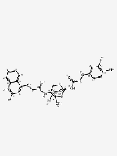 Cc1cc(OCC(=O)NC23CCC(NC(=O)COc4ccc(Cl)c(F)c4)(CC2)C[C@@H]3O)c2ccccc2n1